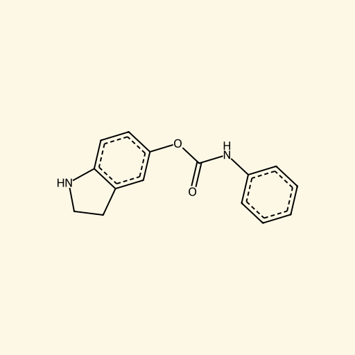 O=C(Nc1ccccc1)Oc1ccc2c(c1)CCN2